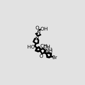 CC1(C)c2cc(C(O)C3CCN(C4CN(C(=O)O)C4)CC3)ccc2C(=O)c2c1[nH]c1cc(Br)ccc21